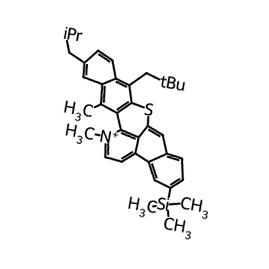 Cc1c2c(c(CC(C)(C)C)c3ccc(CC(C)C)cc13)Sc1cc3ccc([Si](C)(C)C)cc3c3cc[n+](C)c-2c13